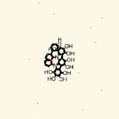 Oc1c(O)c(O)c2c(c1O)c1c(O)c(O)c3c4c(O)c(O)c(O)c(O)c4n(-c4ccccc4-c4ccccc4)c3c1n2-c1ccccc1